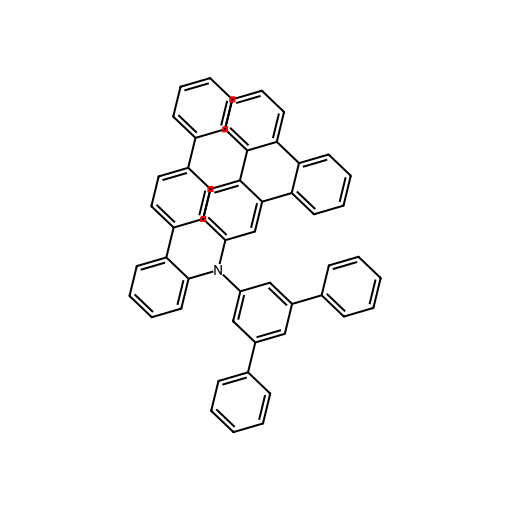 c1ccc(-c2ccc(-c3ccccc3N(c3cc(-c4ccccc4)cc(-c4ccccc4)c3)c3ccc4c5ccccc5c5ccccc5c4c3)cc2)cc1